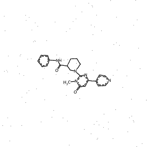 Cn1c(N2CCCC(C(=O)Nc3ccccc3)C2)nc(-c2ccncc2)cc1=O